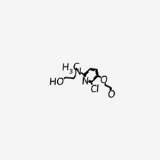 CN(CCO)c1ccc(OCC=O)c(Cl)n1